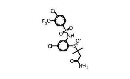 CC(C)(CC(N)=O)[S+]([O-])c1ccc(Cl)cc1NS(=O)(=O)c1ccc(Cl)c(C(F)(F)F)c1